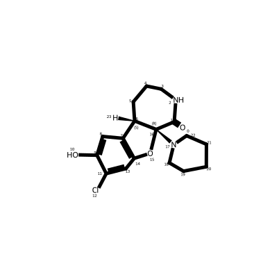 O=C1NCCC[C@H]2c3cc(O)c(Cl)cc3O[C@@]12N1CCCCC1